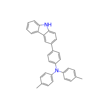 Cc1ccc(N(c2ccc(C)cc2)c2ccc(-c3ccc4[nH]c5ccccc5c4c3)cc2)cc1